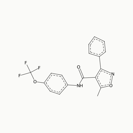 Cc1onc(-c2ccccc2)c1C(=O)Nc1ccc(OC(F)(F)F)cc1